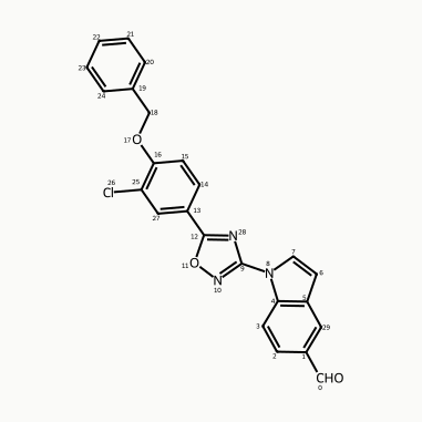 O=Cc1ccc2c(ccn2-c2noc(-c3ccc(OCc4ccccc4)c(Cl)c3)n2)c1